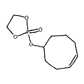 O=P1(OC2CC/C=C\CCC2)OCCO1